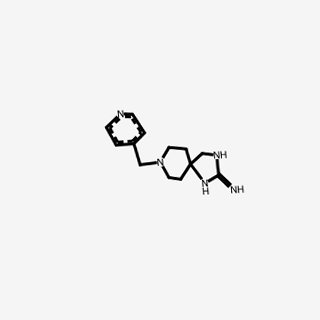 N=C1NCC2(CCN(Cc3ccncc3)CC2)N1